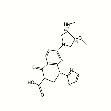 CN[C@H]1CN(c2ccc3c(n2)N(c2nccs2)CC(C(=O)O)C3=O)C[C@@H]1OC